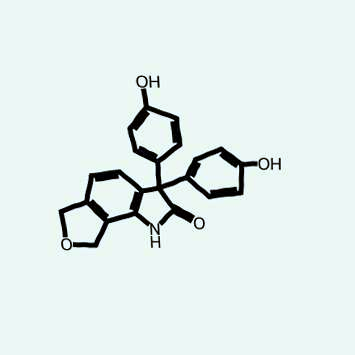 O=C1Nc2c(ccc3c2COC3)C1(c1ccc(O)cc1)c1ccc(O)cc1